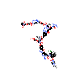 Cc1cccc2c(OC(=O)N3CCN(C)CC3)cc3c(c12)[C@H](CCl)CN3C(=O)c1cc2cc(NC(=O)c3ccc(OC(=O)N(CCOCCO)CCN(C)C(=O)OCc4ccc(NC(=O)[C@H](CCCNC(N)=O)NC(=O)[C@@H](NC(=O)OCCOCCn5cc(CNC(=O)OCCOCCN6C(=O)C=CC6=O)nn5)C(C)C)cc4)cc3)cnc2[nH]1